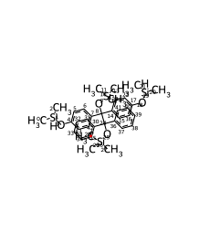 C[SiH](C)Oc1ccc(C(O[Si](C)(C)C)(c2ccc(O[SiH](C)C)cc2)C(O[Si](C)(C)C)(c2ccccc2)c2ccccc2)cc1